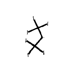 IC(I)(I)[CH]C(I)(I)I